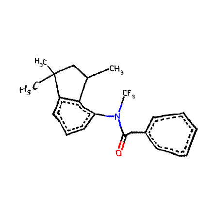 CC1CC(C)(C)c2cccc(N(C(=O)c3ccccc3)C(F)(F)F)c21